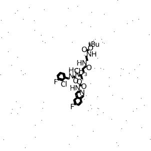 CN(C(=O)NCc1cccc(F)c1Cl)[C@@H](CCC(=O)NCCNC(=O)OC(C)(C)C)COC(=O)Nc1cc2cc(F)ccc2cn1